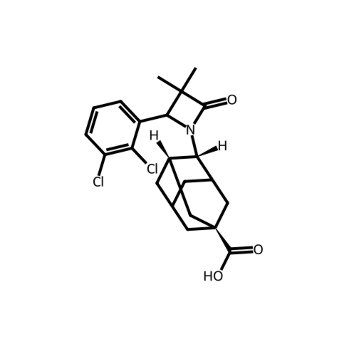 CC1(C)C(=O)N([C@@H]2C3CC4C[C@H]2C[C@@](C(=O)O)(C4)C3)C1c1cccc(Cl)c1Cl